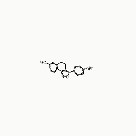 CCCc1ccc(-c2onc3c2CCc2cc(O)ccc2-3)cc1